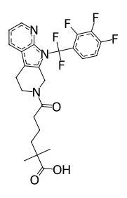 CC(C)(CCCC(=O)N1CCc2c(n(C(F)(F)c3ccc(F)c(F)c3F)c3ncccc23)C1)C(=O)O